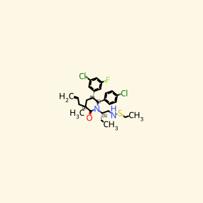 C=CC[C@@]1(C)C[C@H](c2cc(F)cc(Cl)c2)[C@@H](c2ccc(Cl)cc2)N([C@@H](CC)CNSCC)C1=O